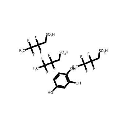 O=S(=O)(O)CC(F)(F)C(F)(F)C(F)(F)F.O=S(=O)(O)CC(F)(F)C(F)(F)C(F)(F)F.O=S(=O)(O)CC(F)(F)C(F)(F)C(F)(F)F.Oc1ccc(O)c(O)c1